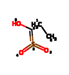 CC.O=S(=O)=CO